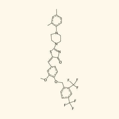 COc1cc(C=C2SC(N3CCN(c4ccc(C)cc4C)CC3)=NC2=O)ccc1OCc1ccc(C(F)(F)F)cc1C(F)(F)F